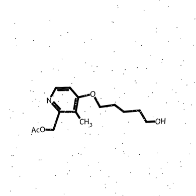 CC(=O)OCc1nccc(OCCCCCO)c1C